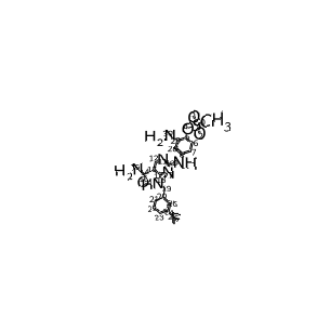 CS(=O)(=O)Oc1ccc(Nc2ncc(C(N)=O)c(NCc3cccc(F)c3)n2)cc1N